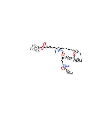 C=C(CCCCCCCC(CCCCCCCCC(=O)OCC(CCCC)CCCCCC)NCCOCCCCCNC(=O)CC(C)(C)C)OCC(CCCC)CCCCCC